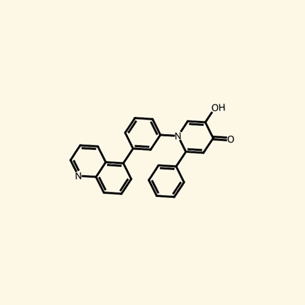 O=c1cc(-c2ccccc2)n(-c2cccc(-c3cccc4ncccc34)c2)cc1O